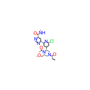 C=CC(=O)N1C[C@@H](COC)N(C(C)=O)[C@@H](c2cc(Cl)nc(-c3cc(C(=O)NC)ncn3)c2)C1